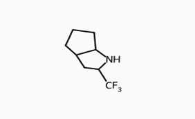 FC(F)(F)C1CC2CCCC2N1